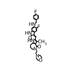 Cc1c(C=C2C(=O)Nc3cc(NCc4ccc(F)cc4)c(F)cc32)[nH]c2c1C(=O)N(CCN1CCOCC1)CCC2